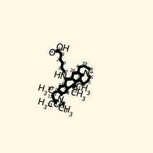 CCN1c2cc3c(cc2C(C)CC1(C)C)C(NCCCCCC(=O)O)=c1cc2c4c(c1C3(C)C)CCC[N+]=4CCC2